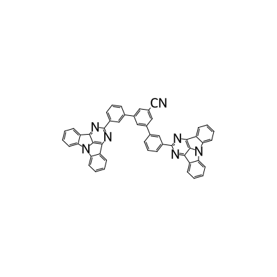 N#Cc1cc(-c2cccc(-c3nc4c5ccccc5n5c6ccccc6c(n3)c45)c2)cc(-c2cccc(-c3nc4c5ccccc5n5c6ccccc6c(n3)c45)c2)c1